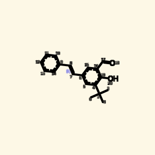 CC(C)(C)c1cc(/C=C/c2ccccc2)cc(C=O)c1O